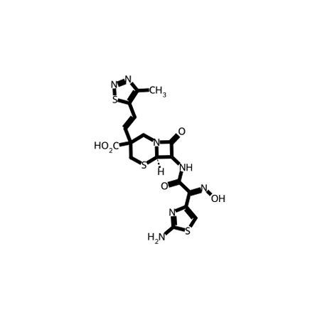 Cc1nnsc1C=CC1(C(=O)O)CS[C@@H]2C(NC(=O)C(=NO)c3csc(N)n3)C(=O)N2C1